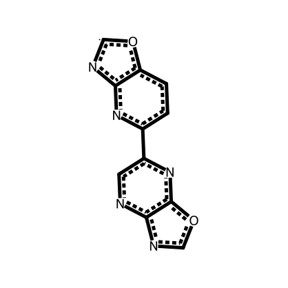 [c]1nc2nc(-c3cnc4ncoc4n3)ccc2o1